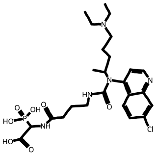 CCN(CC)CCCC(C)N(C(=O)NCCCC(=O)NC(C(=O)O)P(=O)(O)O)c1ccnc2cc(Cl)ccc12